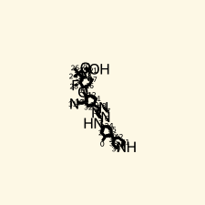 Cc1cc(Nc2ncnc(-c3ccc(O[C@H]4CCN(C(=O)O)C(C(C)(C)C)[C@H]4F)c(C#N)c3)n2)ccc1C1CCNCC1